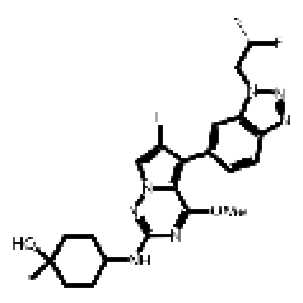 COc1nc(NC2CCC(C)(O)CC2)nn2cc(F)c(-c3ccc4nnn(C[C@H](C)F)c4c3)c12